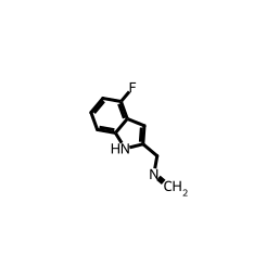 C=NCc1cc2c(F)cccc2[nH]1